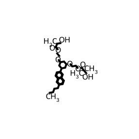 C=C(CO)C(=O)OCCOC1CC(OCCOC(=O)C(C)(C)CO)CC(c2ccc3cc(CCCCC)ccc3c2)C1